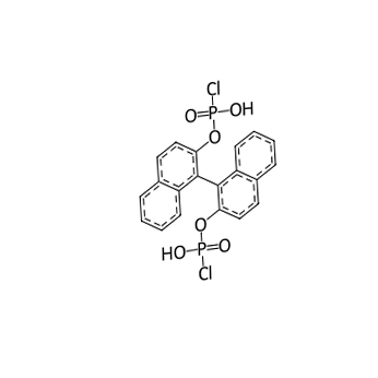 O=P(O)(Cl)Oc1ccc2ccccc2c1-c1c(OP(=O)(O)Cl)ccc2ccccc12